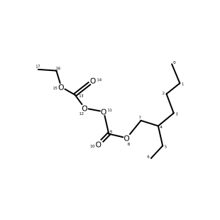 CCCCC(CC)COC(=O)OOC(=O)OCC